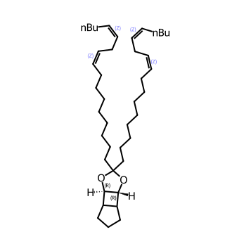 CCCC/C=C\C/C=C\CCCCCCCCC1(CCCCCCCC/C=C\C/C=C\CCCC)O[C@@H]2C3CCCC3[C@H]2O1